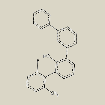 Cc1cccc(F)c1-c1cccc(-c2cccc(-c3ccccc3)c2)c1O